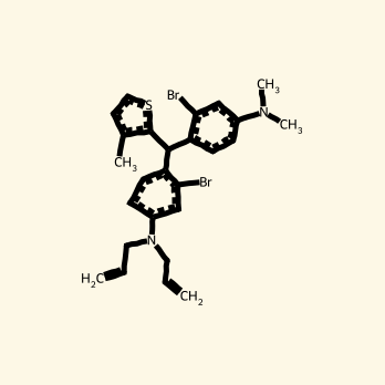 C=CCN(CC=C)c1ccc(C(c2ccc(N(C)C)cc2Br)c2sccc2C)c(Br)c1